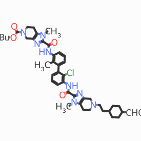 Cc1c(NC(=O)c2nc3c(n2C)CCN(C(=O)OC(C)(C)C)C3)cccc1-c1cccc(NC(=O)c2nc3c(n2C)CCN(CCC2CCC(C=O)CC2)C3)c1Cl